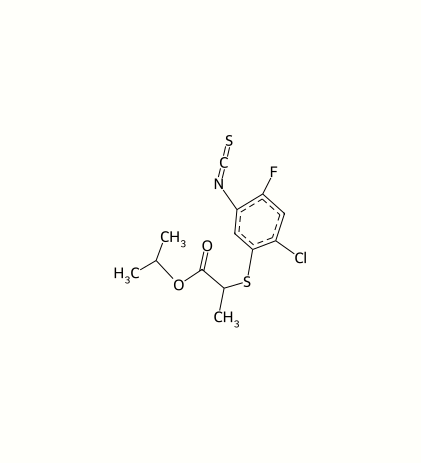 CC(C)OC(=O)C(C)Sc1cc(N=C=S)c(F)cc1Cl